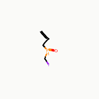 C=CC[PH](=O)CI